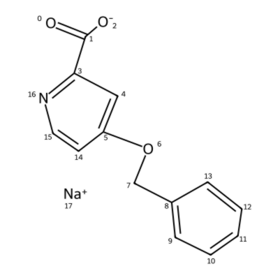 O=C([O-])c1cc(OCc2ccccc2)ccn1.[Na+]